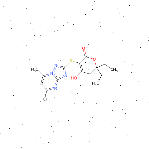 CCC1(CC)CC(O)=C(Sc2nc3nc(C)cc(C)n3n2)C(=O)O1